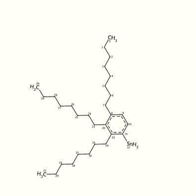 CCCCCCCCc1cc[c]([SnH3])c(CCCCCCCC)c1CCCCCCCC